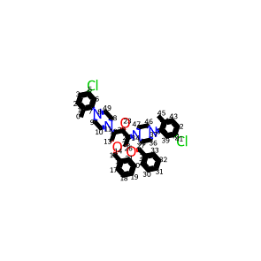 Cc1ccc(Cl)cc1N1CCN(C(COCc2ccccc2)C(=O)C(COCc2ccccc2)N2CCN(c3cc(Cl)ccc3C)CC2)CC1